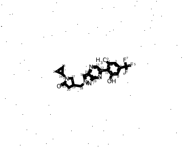 Cc1cc(C(F)(F)F)cc(O)c1-c1cnc2cn(CC3CC(=O)N(C4CC4)C3)nc2n1